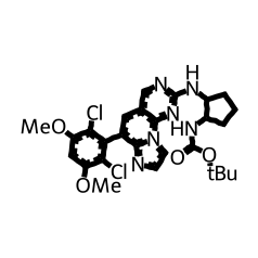 COc1cc(OC)c(Cl)c(-c2cc3cnc(NC4CCCC4NC(=O)OC(C)(C)C)nc3n3ccnc23)c1Cl